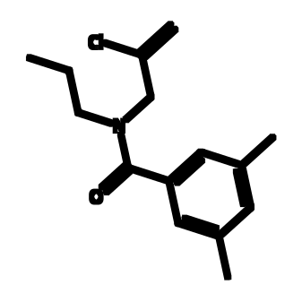 C=C(Cl)CN(CCC)C(=O)c1cc(C)cc(C)c1